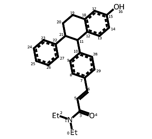 CCN(CC)C(=O)C=Cc1ccc(C2c3ccc(O)cc3CCC2c2ccccc2)cc1